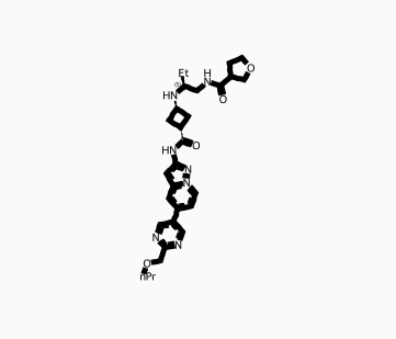 CCCOCc1ncc(-c2ccn3nc(NC(=O)[C@H]4C[C@@H](N[C@@H](CC)CNC(=O)C5CCOC5)C4)cc3c2)cn1